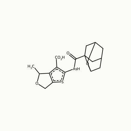 CC1OCc2sc([AsH]C(=O)C34CC5CC(CC(C5)O3)C4)c(C(=O)O)c21